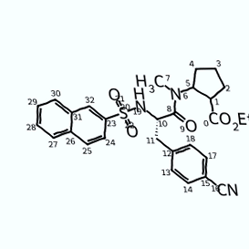 CCOC(=O)C1CCCC1N(C)C(=O)[C@H](Cc1ccc(C#N)cc1)NS(=O)(=O)c1ccc2ccccc2c1